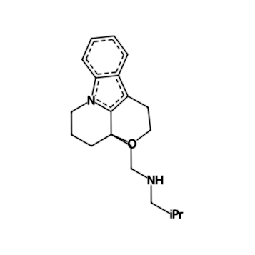 CC(C)CNCCC12CCCn3c1c(c1ccccc13)CCO2